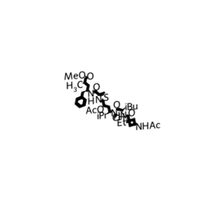 CC[C@H](C)[C@H](NC(=O)C1(CC)CC(NC(C)=O)C1)C(=O)N(C)[C@H](C[C@@H](OC(C)=O)c1nc(C(=O)N[C@@H](Cc2ccccc2)C[C@H](C)C(=O)OC)cs1)C(C)C